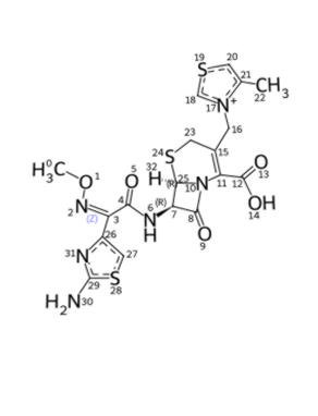 CO/N=C(\C(=O)N[C@@H]1C(=O)N2C(C(=O)O)=C(C[n+]3cscc3C)CS[C@H]12)c1csc(N)n1